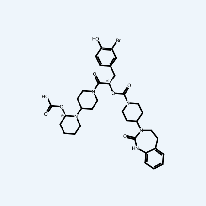 O=C(O)O[C@@H]1CCCCN1C1CCN(C(=O)[C@@H](Cc2ccc(O)c(Br)c2)OC(=O)N2CCC(N3CCc4ccccc4NC3=O)CC2)CC1